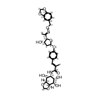 C/C(=C\c1ccc(O[C@H]2C[C@H](O)[C@@H](/C(C)=N/OCc3ccc4c(c3)OCO4)O2)cc1)C(=O)N[C@@H]1[C@H](O)[C@@H](O)[C@H]2OCO[C@H]2[C@@H]1O